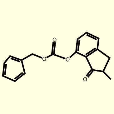 CC1Cc2cccc(OC(=O)OCc3ccccc3)c2C1=O